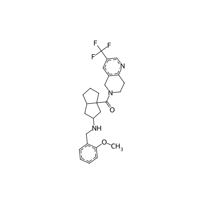 COc1ccccc1CNC1CC2CCCC2(C(=O)N2CCc3ncc(C(F)(F)F)cc3C2)C1